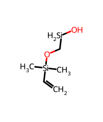 C=C[Si](C)(C)OC[SiH2]O